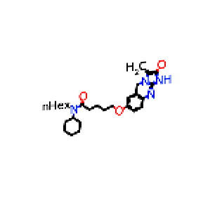 C=c1c(=O)[nH]c2n1Cc1cc(OCCCCC(=O)N(CCCCCC)C3CCCCC3)ccc1N=2